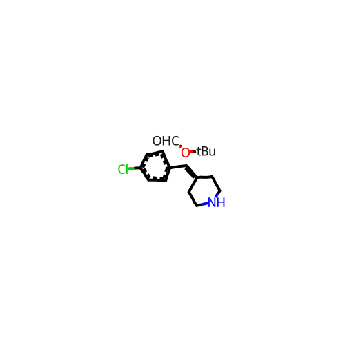 CC(C)(C)OC=O.Clc1ccc(C=C2CCNCC2)cc1